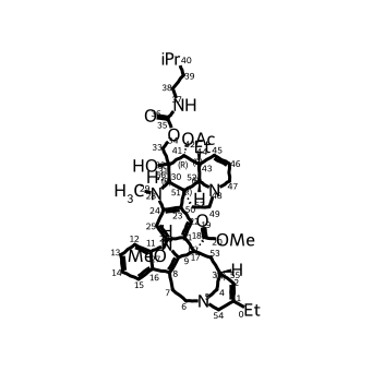 CCC1=C[C@@H]2CN(CCc3c([nH]c4ccccc34)[C@@](C(=O)OC)(c3cc4c(cc3OC)N(C)[C@H]3C(O)(COC(=O)NCCC(C)C)[C@H](OC(C)=O)[C@]5(CC)C=CCN6CC[C@]43[C@@H]65)C2)C1